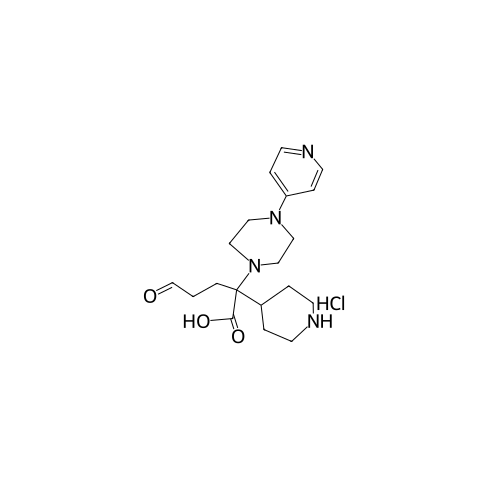 Cl.O=CCCC(C(=O)O)(C1CCNCC1)N1CCN(c2ccncc2)CC1